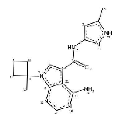 Cc1cc(NC(=O)c2cn(C3(C)CCC3)c3ncnc(N)c23)n[nH]1